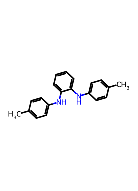 Cc1ccc(Nc2ccccc2Nc2ccc(C)cc2)cc1